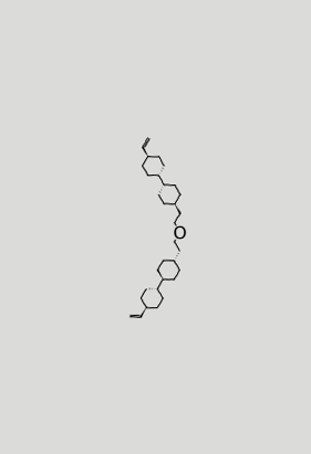 C=C[C@H]1CC[C@H]([C@H]2CC[C@H](CCOCC[C@H]3CC[C@H]([C@H]4CC[C@H](C=C)CC4)CC3)CC2)CC1